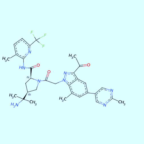 CC(=O)c1nn(CC(=O)N2C[C@@H](C(C)(C)N)C[C@H]2C(=O)Nc2nc(C(F)(F)F)ccc2C)c2c(C)cc(-c3cnc(C)nc3)cc12